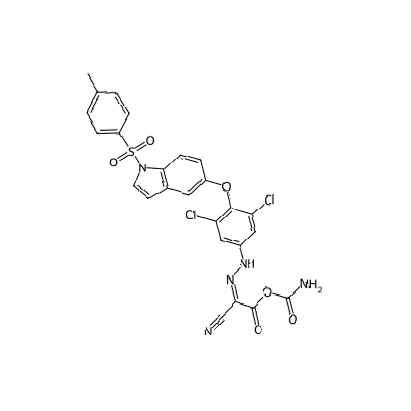 Cc1ccc(S(=O)(=O)n2ccc3cc(Oc4c(Cl)cc(N/N=C(/C#N)C(=O)OC(N)=O)cc4Cl)ccc32)cc1